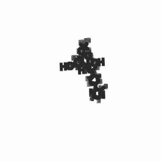 Cc1nccnc1-c1ccc([C@H](CO)NC(=O)[C@@H]2C[C@@H](O)CN2C(=O)OC(C)(C)C)cc1